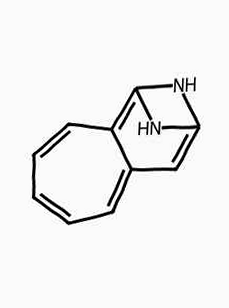 C1=CC=C2C=c3[nH]c([nH]3)=C2C=C1